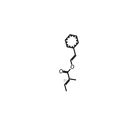 C/C=C(\C)C(=O)OC=Cc1ccccc1